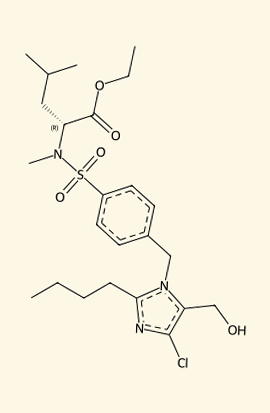 CCCCc1nc(Cl)c(CO)n1Cc1ccc(S(=O)(=O)N(C)[C@H](CC(C)C)C(=O)OCC)cc1